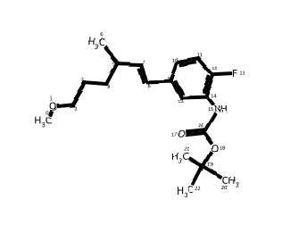 COCCCC(C)/C=C/c1ccc(F)c(NC(=O)OC(C)(C)C)c1